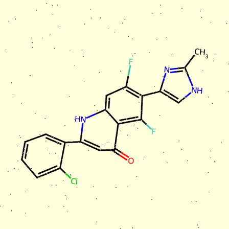 Cc1nc(-c2c(F)cc3[nH]c(-c4ccccc4Cl)cc(=O)c3c2F)c[nH]1